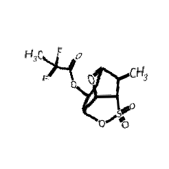 CC1C2OC3C(OS(=O)(=O)C13)C2OC(=O)C(C)(F)F